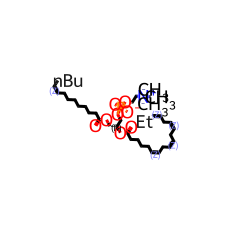 CC/C=C\C/C=C\C/C=C\C/C=C\CCCCC(=O)O[C@H](COC(=O)CCCCCCC/C=C\CCCC)COP(=O)([O-])OCC[N+](C)(C)C